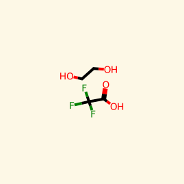 O=C(O)C(F)(F)F.OCCO